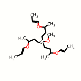 CC=COC(C)CC[Si](CCC(C)OC=CC)(CCC(C)OC=CC)OC